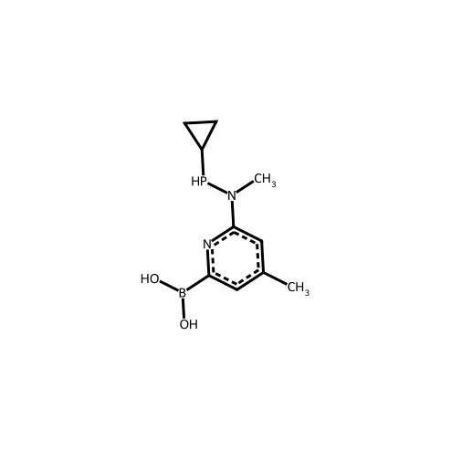 Cc1cc(B(O)O)nc(N(C)PC2CC2)c1